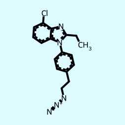 CCc1nc2c(Cl)cccc2n1-c1ccc(CCN=[N+]=[N-])cc1